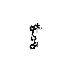 CC1(C)Cc2cccc(CCN3CCN(c4nsc5ccccc45)CC3)c2NC1=O